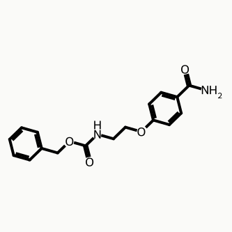 NC(=O)c1ccc(OCCNC(=O)OCc2ccccc2)cc1